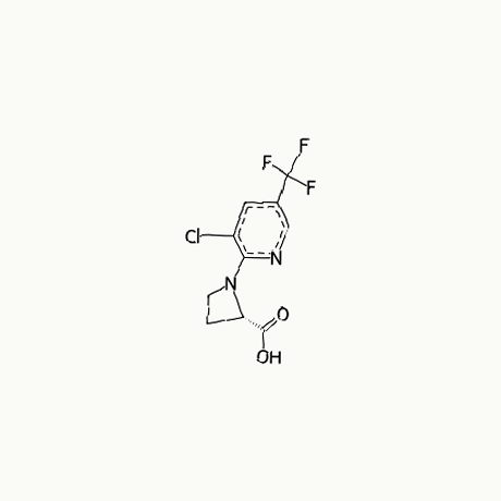 O=C(O)[C@@H]1CCN1c1ncc(C(F)(F)F)cc1Cl